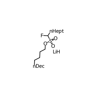 CCCCCCCCCCCCCCOS(=O)(=O)C(F)CCCCCCC.[LiH]